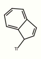 [Ti][CH]1C=Cc2ccccc21